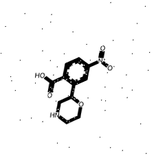 O=C(O)c1ccc([N+](=O)[O-])cc1C1CNCCO1